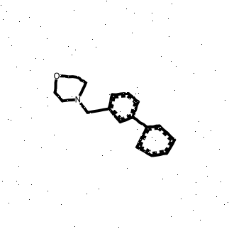 [c]1ccc(-c2ccccc2)cc1CN1CCOCC1